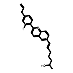 C=CCc1ccc(-c2ccc3cc(C=CCCCC(C)O)ccc3n2)c(F)c1